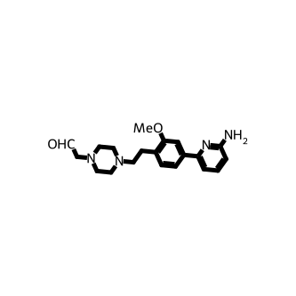 COc1cc(-c2cccc(N)n2)ccc1CCN1CCN(CC=O)CC1